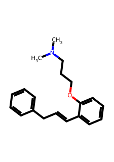 CN(C)CCCOc1ccccc1C=CCc1ccccc1